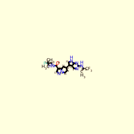 C[C@@H](Nc1ncc2c(-c3ccn4ncc(C(=O)NCC(C)(C)F)c4c3)c[nH]c2n1)C(F)(F)F